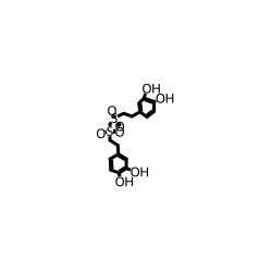 O=S(=O)(CCc1ccc(O)c(O)c1)CS(=O)(=O)CCc1ccc(O)c(O)c1